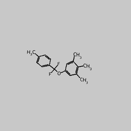 Cc1ccc(C(F)(F)Oc2cc(C)c(C)c(C)c2)cc1